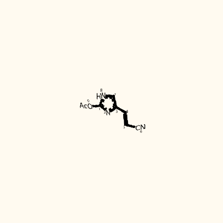 CC(=O)Oc1nc(C=CC#N)c[nH]1